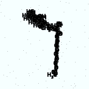 COC(=O)CCOCCOCCOCCOCCOCCOCCOCCOCCN(C=O)c1cc(OCC(=O)NCCCO[C@@H]2OC(CO)[C@H](O[C@@H]3OC(CO)[C@H](O)C(O[C@@H]4OC(CO)[C@H](O)C(O)C4O)C3O)C(O)C2NC(C)=O)cc(-c2ccccc2)c1